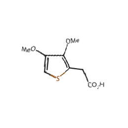 COc1csc(CC(=O)O)c1OC